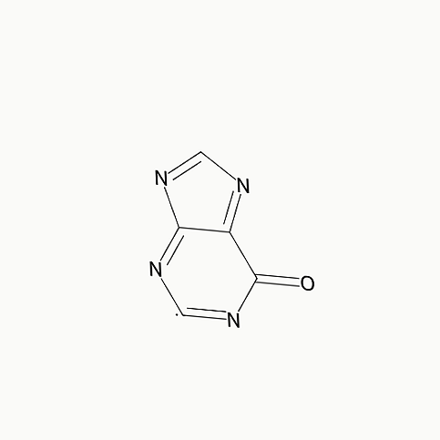 O=C1N=[C]N=C2N=CN=C12